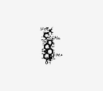 CO[C@H]1C[C@@]2(C)C3C[C@H](OC)[C@H]4C(C)(C)[C@@H](O)CCC45CC35CC[C@]2(C)[C@H]1[C@@]1(C)CC[C@@H](C(C)(C)OC)O1